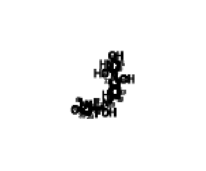 Cn1nc(C(F)(F)[C@H](O)NCc2ccc3c(c2)CN(C2CC[C@H](O)N[C@@H]2O)[C@H]3O)ccc1=O